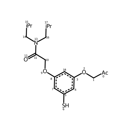 CC(=O)COc1cc(S)cc(OCC(=O)N(CC(C)C)CC(C)C)c1